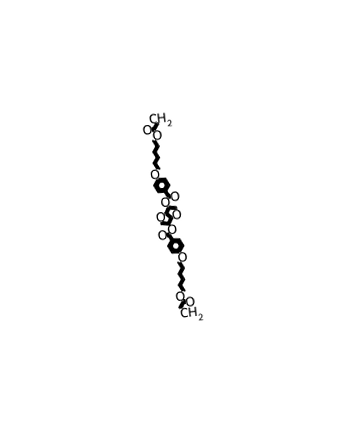 C=CC(=O)OCCCCCCOc1ccc(C(=O)OC2COC3C2OC[C@H]3OC(=O)c2ccc(OCCCCCCOC(=O)C=C)cc2)cc1